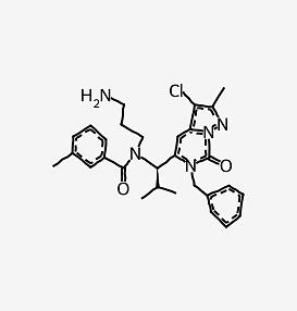 Cc1cccc(C(=O)N(CCCN)[C@@H](c2cc3c(Cl)c(C)nn3c(=O)n2Cc2ccccc2)C(C)C)c1